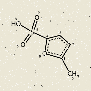 Cc1ccc(S(=O)(=O)O)o1